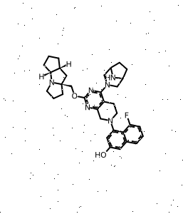 Oc1cc(N2CCc3c(nc(OC[C@@]45CCCN4[C@@H]4CCC[C@@H]4C5)nc3N3CC4CCC(C3)N4)C2)c2c(F)cccc2c1